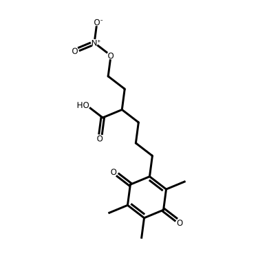 CC1=C(C)C(=O)C(CCCC(CCO[N+](=O)[O-])C(=O)O)=C(C)C1=O